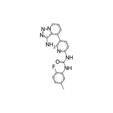 Cc1ccc(F)c(NC(=O)Nc2ccc(-c3cccn4nnc(N)c34)cn2)c1